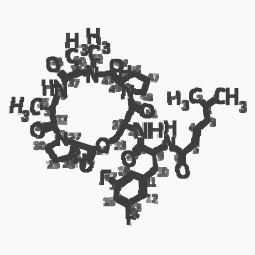 CC(C)C/C=C/C(=O)N[C@@H](Cc1cc(F)cc(F)c1)C(=O)N[C@H]1COC(=O)[C@@H]2CCCN2C(=O)[C@H](C)NC(=O)[C@H](C)N(C)C(=O)[C@@H]2CCCN2C1=O